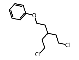 ClCC[C](CCCl)CCOc1ccccc1